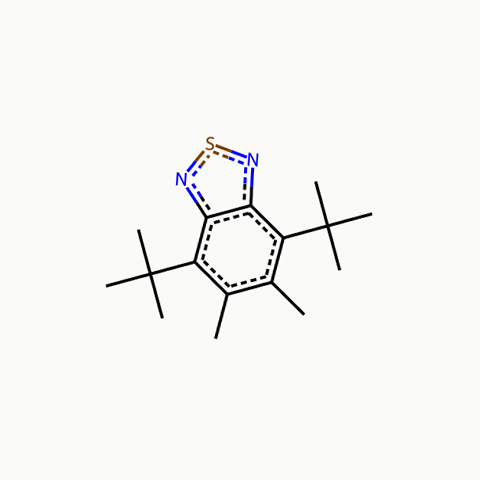 Cc1c(C)c(C(C)(C)C)c2nsnc2c1C(C)(C)C